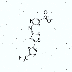 Cc1ccc(-c2cc(=Nc3ncc([N+](=O)[O-])s3)ss2)s1